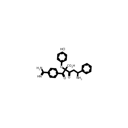 Cl.N=C(N)c1ccc(C(=O)C(Oc2ccccc2)(C(=O)O)C(=O)CC(N)c2ccccc2)cc1